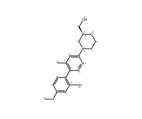 COc1ccc(-c2nnc(N3CCO[C@H](CO)C3)cc2C)c(O)c1